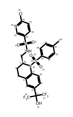 O=S(=O)(NC[C@@H]1CCc2cc(C(O)(C(F)(F)F)C(F)(F)F)ccc2N1S(=O)(=O)c1ccc(I)cc1)c1ccc(Cl)nc1